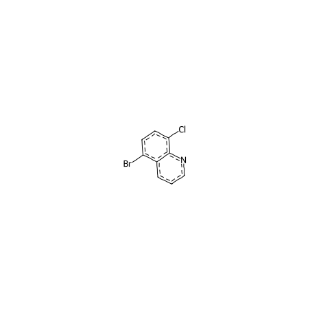 Clc1ccc(Br)c2cccnc12